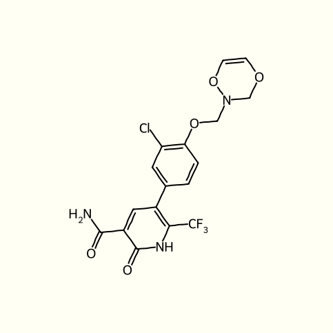 NC(=O)c1cc(-c2ccc(OCN3COC=CO3)c(Cl)c2)c(C(F)(F)F)[nH]c1=O